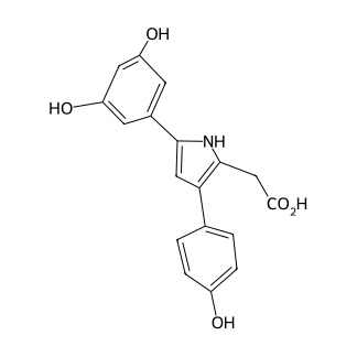 O=C(O)Cc1[nH]c(-c2cc(O)cc(O)c2)cc1-c1ccc(O)cc1